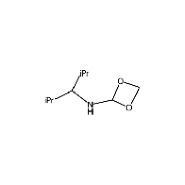 CC(C)C(NC1OCO1)C(C)C